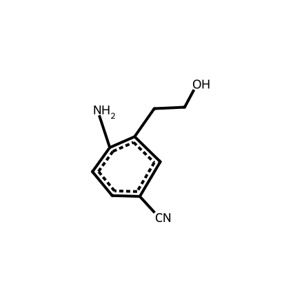 N#Cc1ccc(N)c(CCO)c1